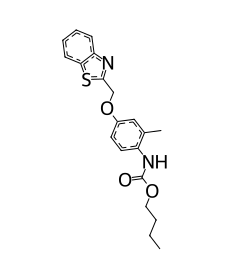 CCCCOC(=O)Nc1ccc(OCc2nc3ccccc3s2)cc1C